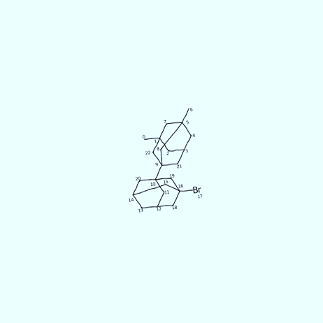 CC12CC3CC(C)(C1)CC(C14CC5CC(CC(Br)(C5)C1)C4)(C3)C2